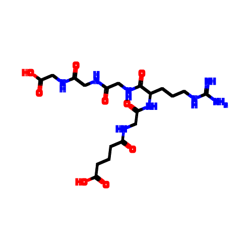 N=C(N)NCCCC(NC(=O)CNC(=O)CCCC(=O)O)C(=O)NCC(=O)NCC(=O)NCC(=O)O